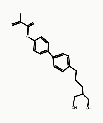 C=C(C)C(=O)Oc1ccc(-c2ccc(CCCC(CO)CO)cc2)cc1